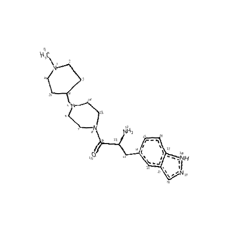 CN1CCC(N2CCN(C(=O)C(N)Cc3ccc4[nH]ncc4c3)CC2)CC1